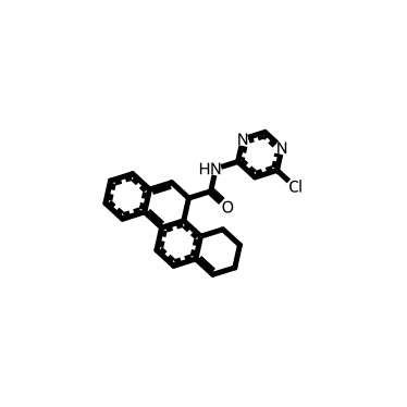 O=C(Nc1cc(Cl)ncn1)C1C=c2ccccc2=c2ccc3c(c21)CCCC=3